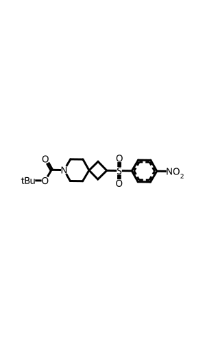 CC(C)(C)OC(=O)N1CCC2(CC1)CC(S(=O)(=O)c1ccc([N+](=O)[O-])cc1)C2